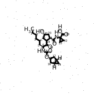 CCCCCC[C@H](NC(=O)O[C@@H]1C[C@@H]2C[C@@H]2C1)C(=O)C1C[C@H](O)C[C@H]1C(=O)NC1(C(=O)O)CC1